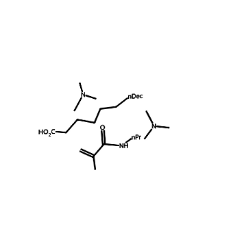 C=C(C)C(=O)NCCC.CCCCCCCCCCCCCCCC(=O)O.CN(C)C.CN(C)C